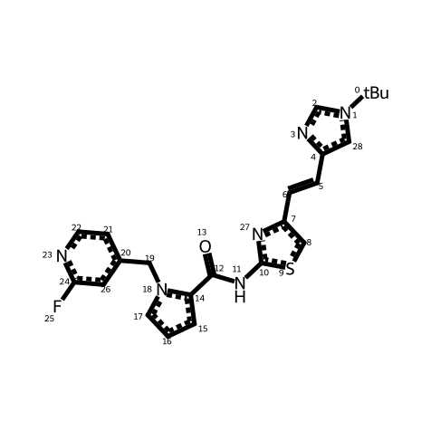 CC(C)(C)n1cnc(C=Cc2csc(NC(=O)c3cccn3Cc3ccnc(F)c3)n2)c1